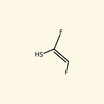 FC=C(F)S